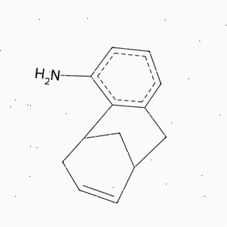 Nc1cccc2c1C1CC=CC(C2)C1